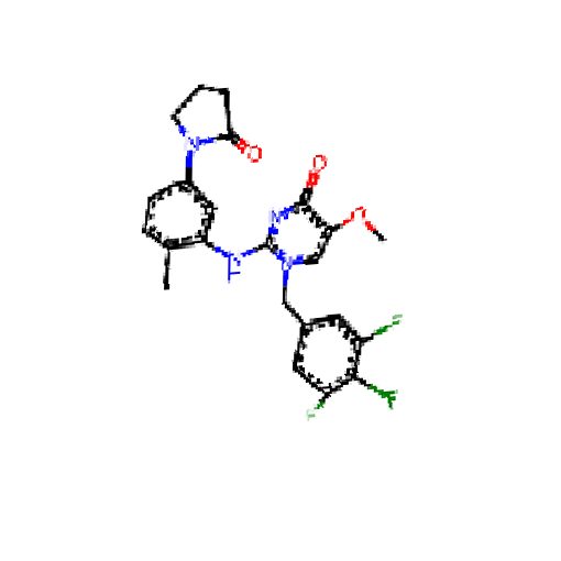 COc1cn(Cc2cc(F)c(F)c(F)c2)c(Nc2cc(N3CCCC3=O)ccc2C)nc1=O